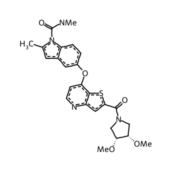 CNC(=O)n1c(C)cc2cc(Oc3ccnc4cc(C(=O)N5C[C@H](OC)[C@H](OC)C5)sc34)ccc21